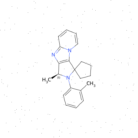 Cc1ccccc1N1[C@@H](C)c2nc3ccccn3c2C12CCCC2